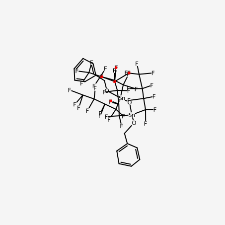 FC(F)(F)C(F)(F)C(F)(F)[C](F)(F)[Sn]([O]Cc1ccccc1)([O][Sn]([O]Cc1ccccc1)([C](F)(F)C(F)(F)C(F)(F)C(F)(F)F)[C](F)(F)C(F)(F)C(F)(F)C(F)(F)F)[C](F)(F)C(F)(F)C(F)(F)C(F)(F)F